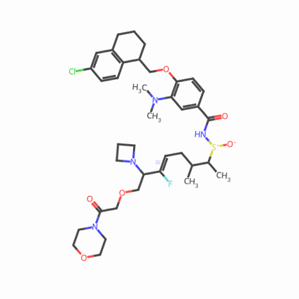 CC(C/C=C(\F)C(COCC(=O)N1CCOCC1)N1CCC1)C(C)[S+]([O-])NC(=O)c1ccc(OCC2CCCc3cc(Cl)ccc32)c(N(C)C)c1